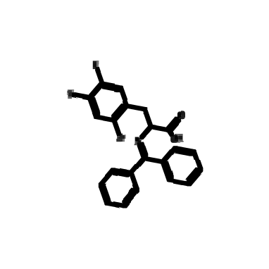 O=C(O)C(Cc1cc(F)c(F)cc1Br)N=C(c1ccccc1)c1ccccc1